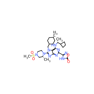 CC1CCC(Cn2c(N3CCN(S(C)(=O)=O)C[C@H]3C)nc3nc(-c4noc(=O)[nH]4)nc(N[C@H](C)C4CCC4)c32)CC1